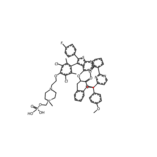 COc1ccc(COC(=O)C(Cc2ccccc2OCc2ccnc(-c3ccccc3OC)n2)Oc2ncnc3sc(-c4ccc(F)cc4)c(-c4c(C)c(Cl)c(OCCN5CC[N+](C)(COP(=O)(O)O)CC5)c(Cl)c4C)c23)cc1